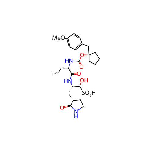 COc1ccc(CC2(OC(=O)N[C@@H](CC(C)C)C(=O)N[C@@H](C[C@@H]3CCNC3=O)C(O)S(=O)(=O)O)CCCC2)cc1